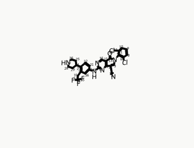 N#Cc1cn(-c2c(Cl)cccc2Cl)c(=O)c2cnc(Nc3ccc(C4CCNCC4)c(CC(F)(F)F)c3)nc12